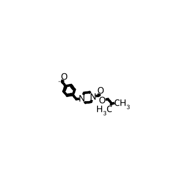 CC(C)COC(=O)N1CCN(Cc2ccc([C]=O)cc2)CC1